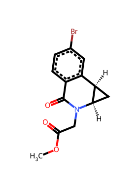 COC(=O)CN1C(=O)c2ccc(Br)cc2[C@H]2C[C@H]21